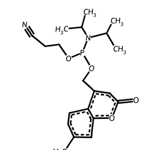 Cc1ccc2c(COP(OCCC#N)N(C(C)C)C(C)C)cc(=O)oc2c1